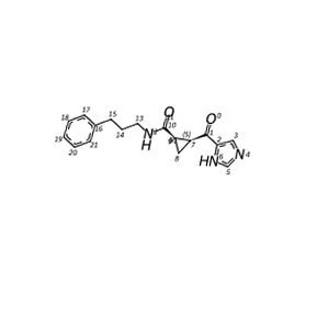 O=C(c1cnc[nH]1)[C@H]1C[C@H]1C(=O)NCCCc1ccccc1